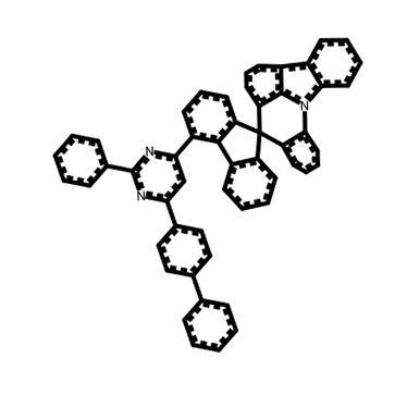 c1ccc(-c2ccc(-c3cc(-c4cccc5c4-c4ccccc4C54c5ccccc5-n5c6ccccc6c6cccc4c65)nc(-c4ccccc4)n3)cc2)cc1